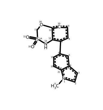 Cn1ccc2cc(-c3cccc4c3NS(=O)(=O)CO4)ccc21